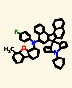 Cc1cccc2c1oc1c(N(c3ccc(F)cc3)c3cc4c(c5ccccc35)-c3c(ccc5ccccc35)C43c4ccccc4N(c4ccccc4)c4ccccc43)cccc12